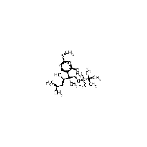 C=C(C)C[C@@H](O)[C@](C)(CO[Si](C)(C)C(C)(C)C)c1cnc(SC)nc1Cl